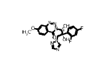 COc1ccc2c(=O)n([C@H](C)[C@](O)(Cn3cncn3)c3ccc(F)cc3F)nnc2c1